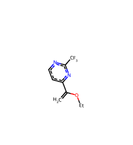 C=C(OCC)c1ccnc(C(F)(F)F)n1